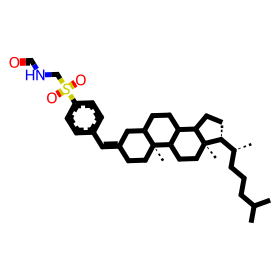 CC(C)CCC[C@@H](C)[C@H]1CCC2C3CCC4CC(=Cc5ccc(S(=O)(=O)CNC=O)cc5)CC[C@]4(C)C3CC[C@@]21C